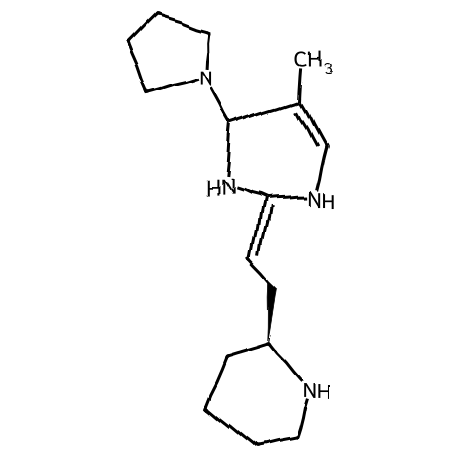 CC1=CN/C(=C\C[C@@H]2CCCCN2)NC1N1CCCC1